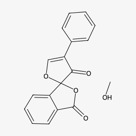 CO.O=C1OC2(OC=C(c3ccccc3)C2=O)c2ccccc21